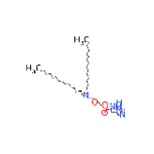 CCCCCCCCCCCCCCCCN(CCCCCCCCCCCCCCCC)CCOCCOC(=O)C(N)Cc1cnc[nH]1